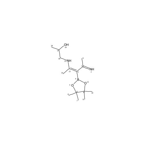 CC(=N)/C(B1OC(C)(C)C(C)(C)O1)=C(/C)NCC(C)O